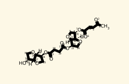 CC(=O)C=CC(=O)O[C@H]1CO[C@H]2[C@@H]1OC[C@H]2OC(=O)CCC(=O)O[C@H]1CO[C@H]2[C@@H]1OC[C@H]2O